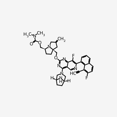 C#Cc1c(F)ccc2cccc(-c3ncc4c(N5C[C@H]6CC[C@@H](C5)N6)nc(OC[C@@]56CC[C@@H](COC(=O)N(C)C)N5CC(=C)C6)nc4c3F)c12